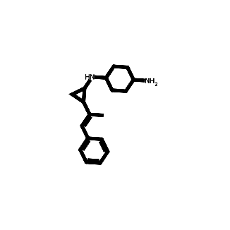 C/C(=C\c1ccccc1)C1CC1NC1CCC(N)CC1